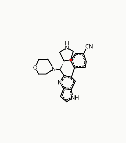 N#Cc1ccc(-c2cc3[nH]ccc3nc2C([C@H]2CCNC2)N2CCOCC2)cc1